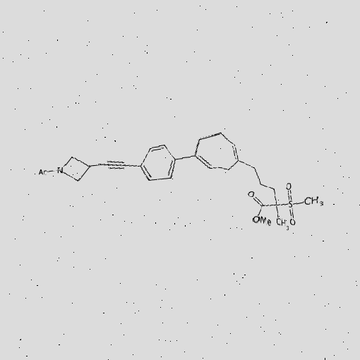 COC(=O)C(C)(CCCC1=CCCC(c2ccc(C#CC3CN(C(C)=O)C3)cc2)=CC1)S(C)(=O)=O